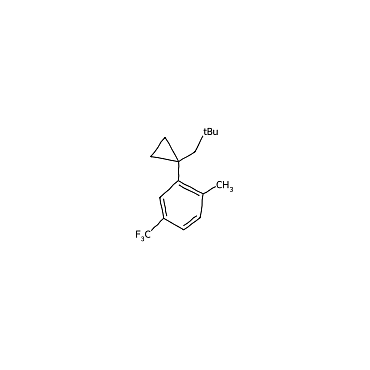 Cc1ccc(C(F)(F)F)cc1C1(CC(C)(C)C)CC1